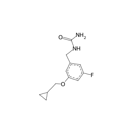 NC(=O)NCc1cc(F)cc(OCC2CC2)c1